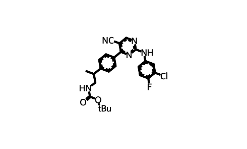 CC(CNC(=O)OC(C)(C)C)c1ccc(-c2nc(Nc3ccc(F)c(Cl)c3)ncc2C#N)cc1